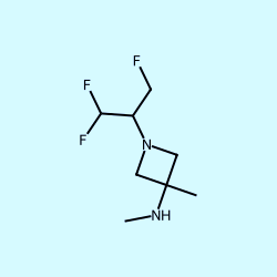 CNC1(C)CN(C(CF)C(F)F)C1